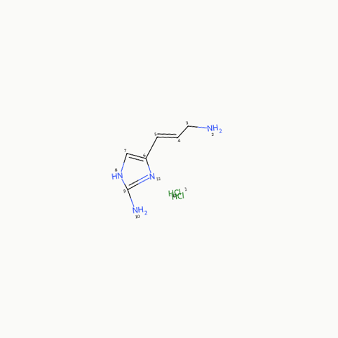 Cl.Cl.NCC=Cc1c[nH]c(N)n1